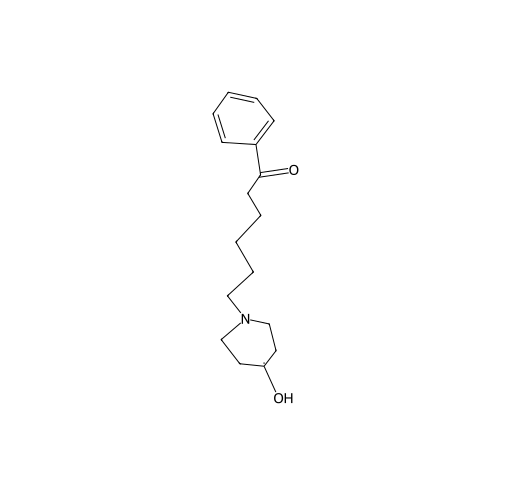 O=C(CCCCCN1CC[C](O)CC1)c1ccccc1